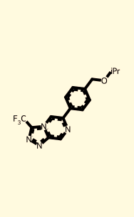 CC(C)OCc1ccc(-c2cn3c(C(F)(F)F)nnc3cn2)cc1